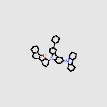 c1ccc(-c2ccc3c(c2)c2cc(-n4c5ccccc5c5ccccc54)ccc2n3-c2cccc3c2oc2c4ccccc4ccc32)cc1